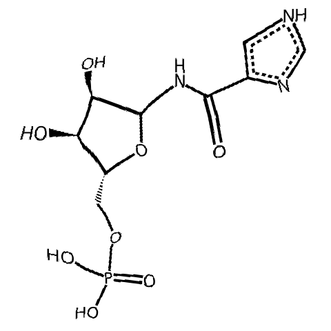 O=C(NC1O[C@H](COP(=O)(O)O)[C@@H](O)[C@H]1O)c1c[nH]cn1